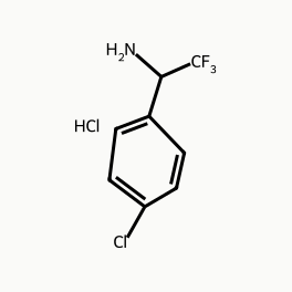 Cl.NC(c1ccc(Cl)cc1)C(F)(F)F